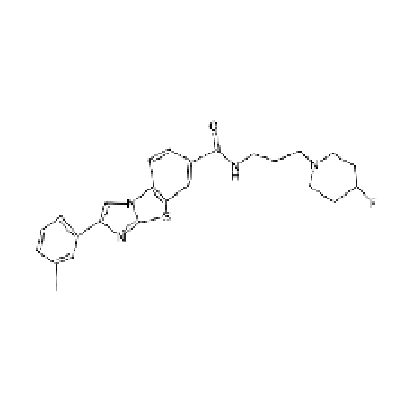 Cc1cccc(-c2cn3c(n2)sc2cc(C(=O)NCCCN4CCC(F)CC4)ccc23)c1